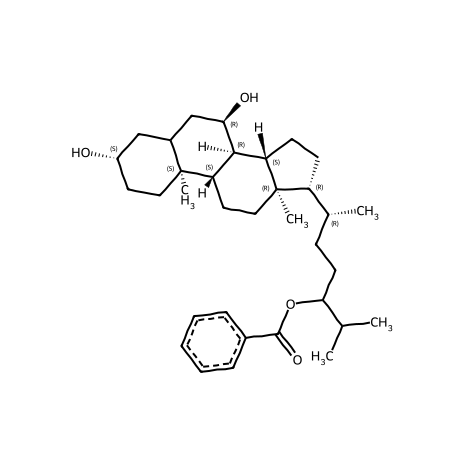 CC(C)C(CC[C@@H](C)[C@H]1CC[C@H]2[C@@H]3[C@H](O)CC4C[C@@H](O)CC[C@]4(C)[C@H]3CC[C@]12C)OC(=O)c1ccccc1